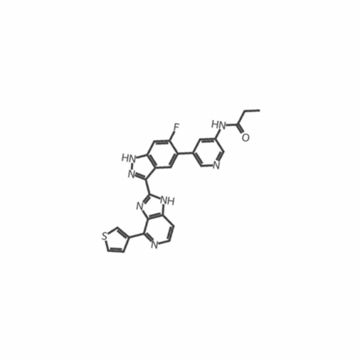 CCC(=O)Nc1cncc(-c2cc3c(-c4nc5c(-c6ccsc6)nccc5[nH]4)n[nH]c3cc2F)c1